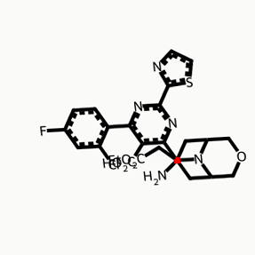 CCOC(=O)CC1(N)CC2COCC(C1)N2Cc1nc(-c2nccs2)nc(-c2ccc(F)cc2Cl)c1C(=O)O